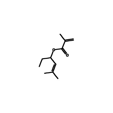 C=C(C)C(=O)OC(C=C(C)C)CC